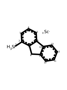 [Sc].[SiH3]c1cccc2c1Cc1ccccc1-2